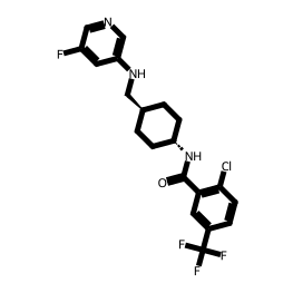 O=C(N[C@H]1CC[C@H](CNc2cncc(F)c2)CC1)c1cc(C(F)(F)F)ccc1Cl